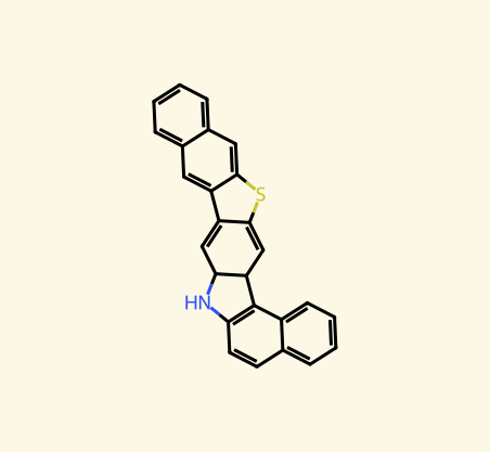 C1=c2sc3cc4ccccc4cc3c2=CC2Nc3ccc4ccccc4c3C12